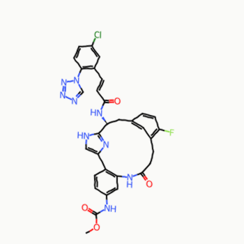 COC(=O)Nc1ccc2c(c1)NC(=O)CCc1cc(ccc1F)C[C@H](NC(=O)/C=C/c1cc(Cl)ccc1-n1cnnn1)c1nc-2c[nH]1